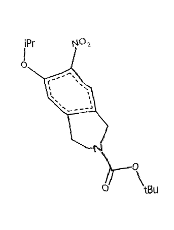 CC(C)Oc1cc2c(cc1[N+](=O)[O-])CN(C(=O)OC(C)(C)C)C2